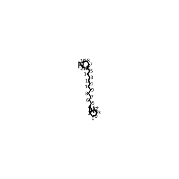 c1cc[n+](CCCCCCCCCCCCc2cccnc2)cc1